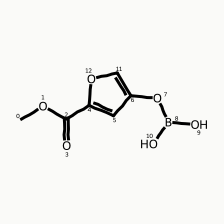 COC(=O)c1cc(OB(O)O)co1